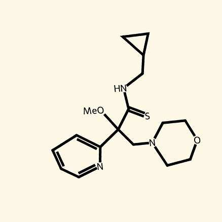 COC(CN1CCOCC1)(C(=S)NCC1CC1)c1ccccn1